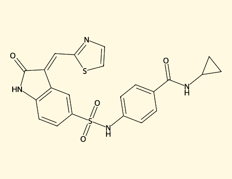 O=C1Nc2ccc(S(=O)(=O)Nc3ccc(C(=O)NC4CC4)cc3)cc2/C1=C\c1nccs1